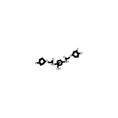 O=C(COc1ccc(Cl)c(F)c1)NC12CCC(NC(=O)COc3ccc(F)cc3)(CC1)C(O)C2